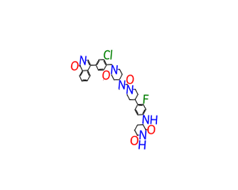 COc1cc(-c2cn(C)c(=O)c3ccccc23)cc(Cl)c1CN1CCC(N(C)C(=O)N2CCC(c3ccc(NC4CCC(=O)NC4=O)cc3F)CC2)CC1